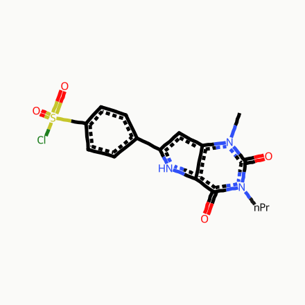 CCCn1c(=O)c2[nH]c(-c3ccc(S(=O)(=O)Cl)cc3)cc2n(C)c1=O